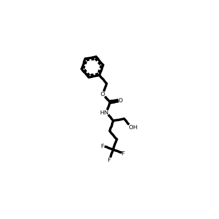 O=C(NC(CO)CCC(F)(F)F)OCc1ccccc1